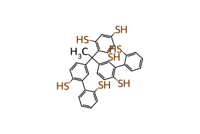 CC(c1ccc(S)c(-c2ccccc2S)c1)(c1ccc(S)c(-c2ccccc2S)c1)c1c(S)cc(S)cc1S